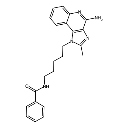 Cc1nc2c(N)nc3ccccc3c2n1CCCCCNC(=O)c1ccccc1